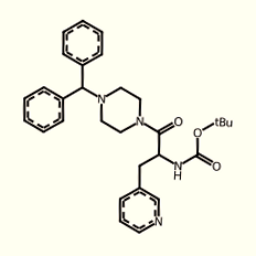 CC(C)(C)OC(=O)NC(Cc1cccnc1)C(=O)N1CCN(C(c2ccccc2)c2ccccc2)CC1